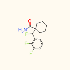 NC(=O)C1(C(F)c2cccc(F)c2F)CCCCC1